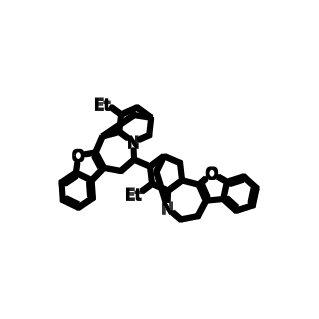 CCC1CC2CC3c4oc5ccccc5c4CC(C4C5CC6c7oc8ccccc8c7CCN(C5)C6C4CC)N(C2)C13